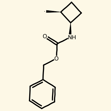 [CH2][C@H]1CC[C@H]1NC(=O)OCc1ccccc1